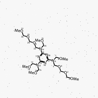 COCOCOCN(COC)c1nc(N(COC)COC)nc(N(COC)COCOCOC)n1